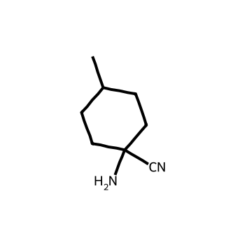 CC1CCC(N)(C#N)CC1